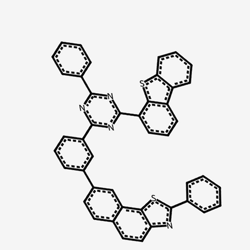 c1ccc(-c2nc(-c3cccc(-c4ccc5ccc6nc(-c7ccccc7)sc6c5c4)c3)nc(-c3cccc4c3sc3ccccc34)n2)cc1